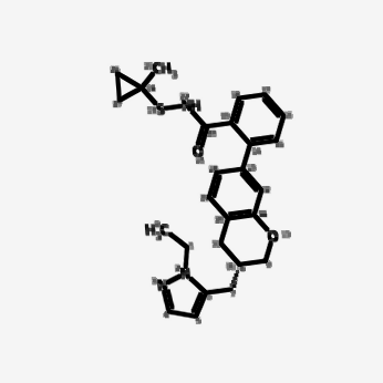 CCn1nccc1C[C@H]1COc2cc(-c3ccccc3C(=O)NSC3(C)CC3)ccc2C1